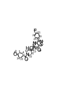 COc1ccc(C(=O)N2CCC(O)(Cn3cnc4c(-c5ccc(F)cc5)nsc4c3=O)CC2)cc1